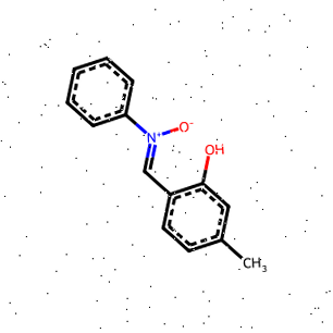 Cc1ccc(C=[N+]([O-])c2ccccc2)c(O)c1